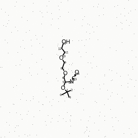 CC(C)(C)OC(COCCOCCO)N=C=O